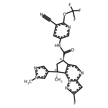 Cn1cc([C@@]2(C)C[C@@H](C(=O)Nc3cnc(OC(F)(F)F)c(C#N)c3)c3cnc4cc(F)nn4c32)cn1